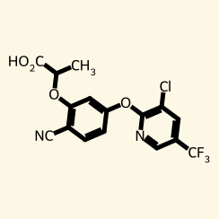 CC(Oc1cc(Oc2ncc(C(F)(F)F)cc2Cl)ccc1C#N)C(=O)O